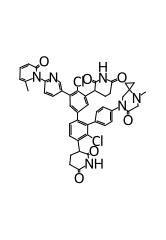 Cc1cccc(=O)n1-c1ccc(-c2cc(-c3ccc(C4CCC(=O)NC4=O)c(Cl)c3-c3ccc(N4CC5(CC5)N(C)CC4=O)cc3)cc(C3CCC(=O)NC3=O)c2Cl)cn1